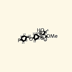 COC(=O)[C@@H]([C@H](C)O)S(=O)(=O)c1ccc(OCc2ccc(F)cc2)cc1